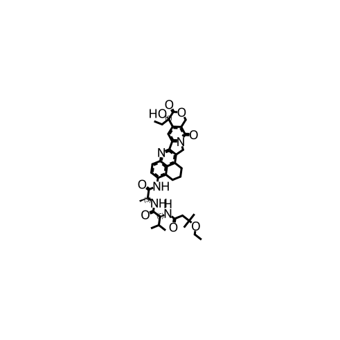 CCOC(C)(C)CC(=O)N[C@H](C(=O)N[C@@H](C)C(=O)Nc1ccc2nc3c(c4c2c1CCC4)Cn1c-3cc2c(c1=O)COC(=O)[C@]2(O)CC)C(C)C